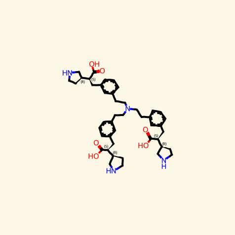 O=C(O)[C@@H](Cc1cccc(CCN(CCc2cccc(C[C@H](C(=O)O)[C@H]3CCNC3)c2)CCc2cccc(C[C@H](C(=O)O)[C@H]3CCNC3)c2)c1)[C@H]1CCNC1